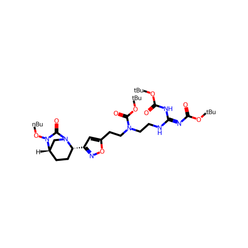 CCCCON1C(=O)N2C[C@@H]1CC[C@H]2c1cc(CCN(CCN/C(=N/C(=O)OC(C)(C)C)NC(=O)OC(C)(C)C)C(=O)OC(C)(C)C)on1